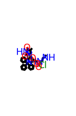 CNCCNP(=O)(Cl)OC[C@@H]1CN(C(c2ccccc2)(c2ccccc2)c2ccccc2)C[C@H](n2cc(C)c(=O)[nH]c2=O)O1